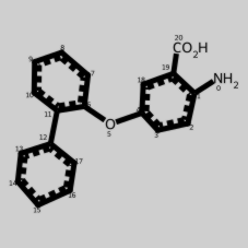 Nc1ccc(Oc2ccccc2-c2ccccc2)cc1C(=O)O